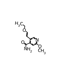 CCO/C=C/c1cnc(OC)cc1C(N)=O